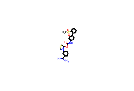 CS(=O)(=O)c1ccccc1-c1ccc(NC(=O)OC2CSCN2c2cccc(C(=N)N)c2)cc1